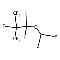 FC(F)OC(F)(F)C(F)(C(F)(F)F)C(F)(F)F